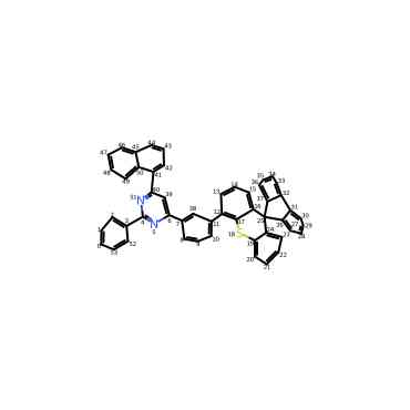 c1ccc(-c2nc(-c3cccc(-c4cccc5c4Sc4ccccc4C54c5ccccc5-c5ccccc54)c3)cc(-c3cccc4ccccc34)n2)cc1